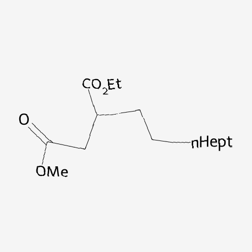 CCCCCCCCCC(CC(=O)OC)C(=O)OCC